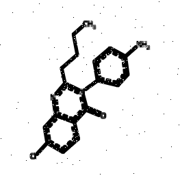 CCCCc1nc2cc(Cl)ccc2c(=O)n1-c1ccc(N)cc1